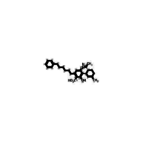 C=C(C)[C@@H]1CCC(C)=C[C@H]1c1c(O)cc(CCCCCCc2ccccc2)c(C(=O)O)c1O